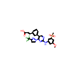 COc1cc(Nc2ncc(-c3cccc(/C=C/C(=O)O)c3)c(-n3ccc(C(F)(F)F)n3)n2)cc(S(C)(=O)=O)c1